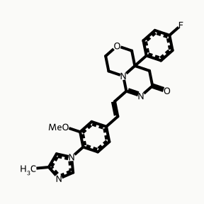 COc1cc(/C=C/C2=NC(=O)CC3(c4ccc(F)cc4)COCCN23)ccc1-n1cnc(C)c1